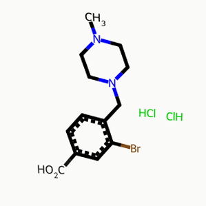 CN1CCN(Cc2ccc(C(=O)O)cc2Br)CC1.Cl.Cl